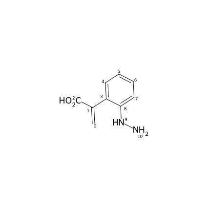 C=C(C(=O)O)c1ccccc1NN